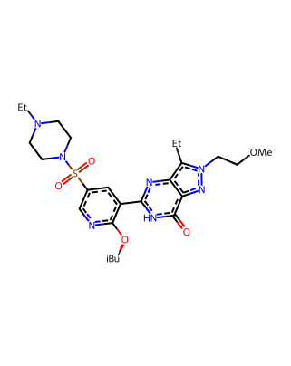 CCc1c2nc(-c3cc(S(=O)(=O)N4CCN(CC)CC4)cnc3O[C@H](C)CC)[nH]c(=O)c2nn1CCOC